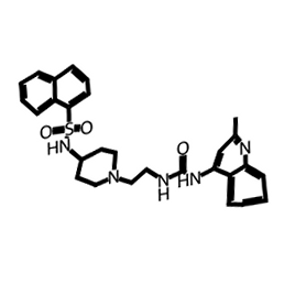 Cc1cc(NC(=O)NCCN2CCC(NS(=O)(=O)c3cccc4ccccc34)CC2)c2ccccc2n1